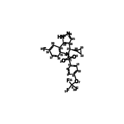 O=S(=O)(c1ccc(OC(F)(F)F)cc1)N1c2ccc(F)cc2-c2[nH]ncc2[C@H]1C1CC1